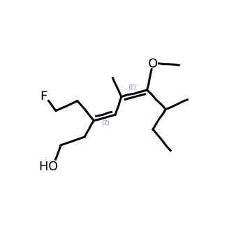 CCC(C)/C(OC)=C(C)\C=C(\CCO)CCF